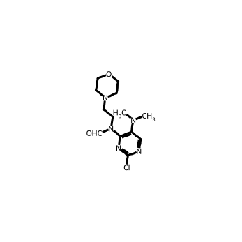 CN(C)c1cnc(Cl)nc1N(C=O)CCN1CCOCC1